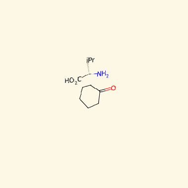 CC(C)[C@H](N)C(=O)O.O=C1CCCCC1